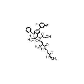 CNC(=O)CCNC(=O)[C@@H](N)CCN(C(=O)CO)[C@@H](c1cc(-c2cc(F)ccc2F)cn1Cc1ccccc1)C(C)(C)C